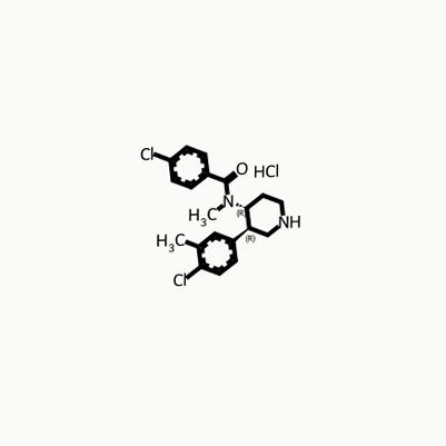 Cc1cc([C@@H]2CNCC[C@H]2N(C)C(=O)c2ccc(Cl)cc2)ccc1Cl.Cl